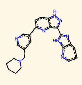 c1cnc2[nH]c(-c3n[nH]c4ccc(-c5cncc(CN6CCCCC6)c5)nc34)nc2c1